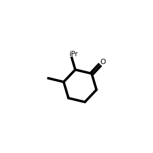 CC(C)C1C(=O)CCCC1C